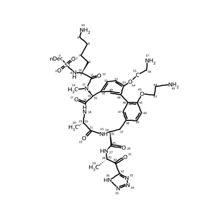 CCCCCCCCCCS(=O)(=O)N[C@@H](CCCCN)C(=O)N(C)[C@@H]1C(=O)N[C@@H](C)C(=O)N[C@H](C(=O)N[C@@H](C)C(=O)c2nnn[nH]2)Cc2ccc(OCCN)c(c2)-c2cc1ccc2OCCN